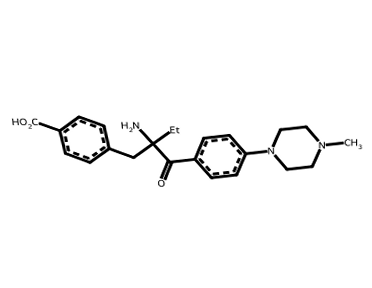 CCC(N)(Cc1ccc(C(=O)O)cc1)C(=O)c1ccc(N2CCN(C)CC2)cc1